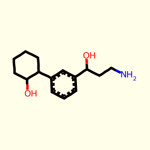 NCCC(O)c1cccc(C2CCCCC2O)c1